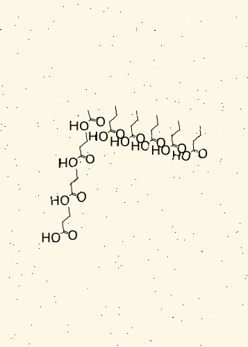 CC(=O)O.CCCC(=O)O.CCCC(=O)O.CCCC(=O)O.CCCC(=O)O.CCCC(=O)O.CCCC(=O)O.CCCC(=O)O.CCCC(=O)O